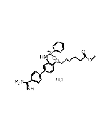 COC(=O)CCCCCOc1ccc(-c2ccc(C(=N)N)cc2)cc1NS(=O)(=O)c1ccccc1.Cl